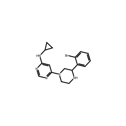 Brc1ccccc1C1CN(c2cc(NC3CC3)ncn2)CCN1